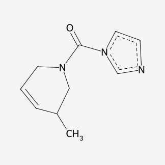 CC1C=CCN(C(=O)n2ccnc2)C1